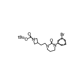 CC(C)(C)OC(=O)N1CC(CCN2CCCN(c3cccc(Br)c3)C2=O)C1